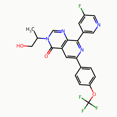 CC(CO)n1cnc2c(-c3cncc(F)c3)nc(-c3ccc(OC(F)(F)F)cc3)cc2c1=O